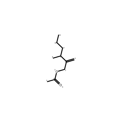 C=C(COC(C)=O)C(C)CCC